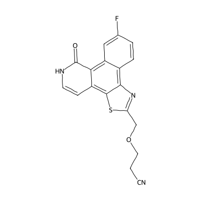 N#CCCOCc1nc2c3ccc(F)cc3c3c(=O)[nH]ccc3c2s1